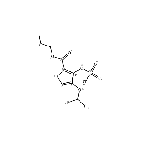 CCCOC(=O)c1scc(OC(F)F)c1OS(=O)(=O)Cl